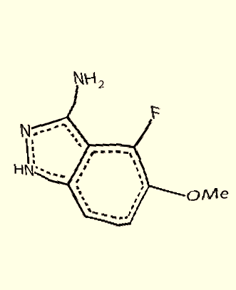 COc1ccc2[nH]nc(N)c2c1F